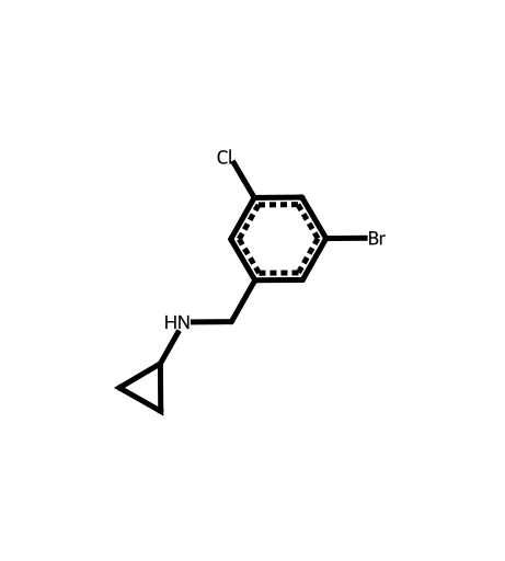 Clc1cc(Br)cc(CNC2CC2)c1